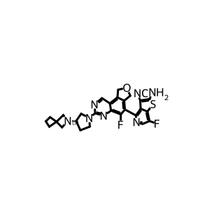 N#Cc1c(N)sc2c(F)cnc(-c3c4c(c5cnc(N6CC[C@H](N7CC8(CCC8)C7)C6)nc5c3F)COC4)c12